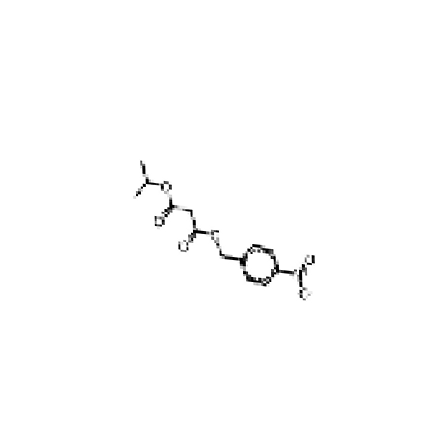 CC(C)OC(=O)CC(=O)OCc1ccc([N+](=O)[O-])cc1